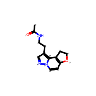 CC(=O)NCCc1cnn2ccc3c(c12)CCO3